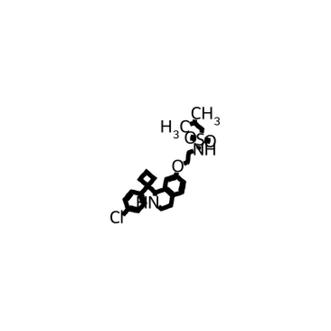 CC(C)CS(=O)(=O)NCCOc1ccc2c(c1)C(C1(c3ccc(Cl)cc3)CCC1)NCC2